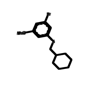 COc1cc(Br)cc(SCC2CCCCC2)c1